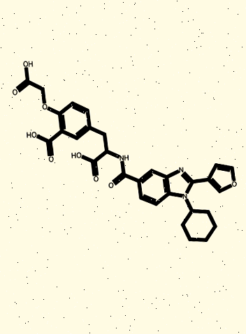 O=C(O)COc1ccc(CC(NC(=O)c2ccc3c(c2)nc(-c2ccoc2)n3C2CCCCC2)C(=O)O)cc1C(=O)O